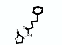 O=C(CCCc1ccccc1)N[C@@H]1CCOC1=O